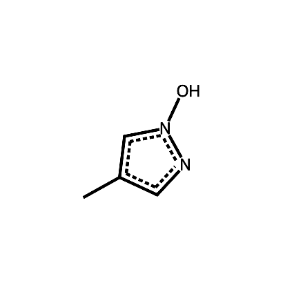 Cc1cnn(O)c1